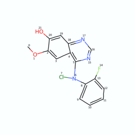 COc1cc2c(N(Cl)c3ccccc3F)ncnc2cc1O